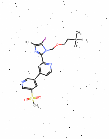 Cc1nc(-c2cc(-c3cncc(S(C)(=O)=O)c3)ccn2)n(COCC[Si](C)(C)C)c1I